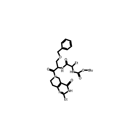 CCc1nc2c(c(=O)[nH]1)CN(C(=O)C(COCc1ccccc1)NC(=O)C(CC)NC(=O)OC(C)(C)C)CC2